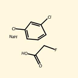 Clc1cccc(Cl)c1.O=C(O)CF.[NaH]